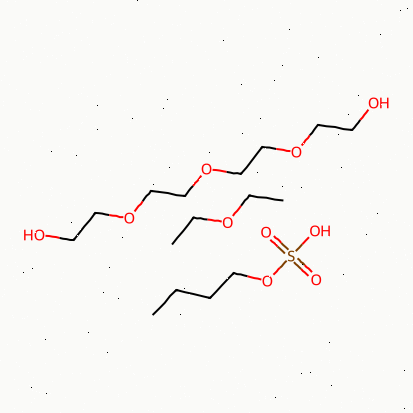 CCCCOS(=O)(=O)O.CCOCC.OCCOCCOCCOCCO